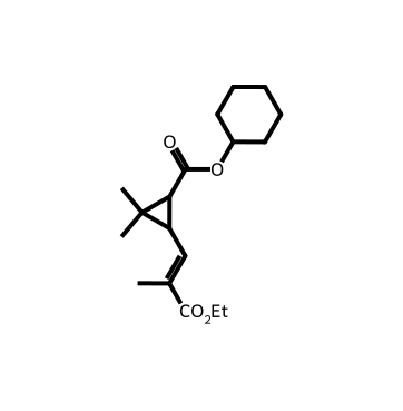 CCOC(=O)C(C)=CC1C(C(=O)OC2CCCCC2)C1(C)C